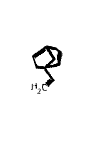 C=CC12CC=C(CC1)C2